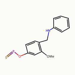 COc1cc(OP=S)ccc1CNc1ccccc1